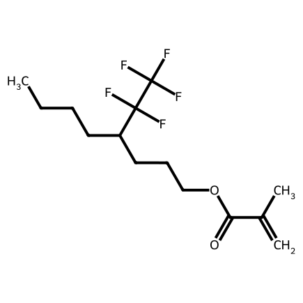 C=C(C)C(=O)OCCCC(CCCC)C(F)(F)C(F)(F)F